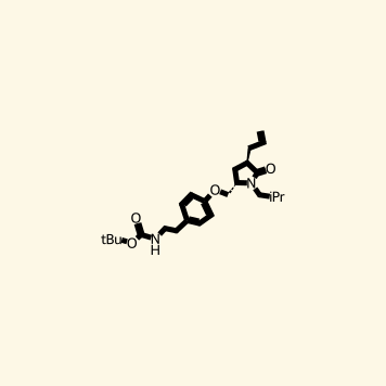 C=CC[C@@H]1C[C@@H](COc2ccc(CCNC(=O)OC(C)(C)C)cc2)N(CC(C)C)C1=O